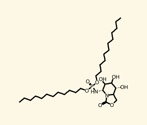 CCCCCCCCCCCCOP(=O)(N[C@@H]1C(O)C(O)[C@H](O)C2COC(=O)N21)OCCCCCCCCCCCC